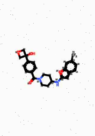 O=C(c1ccc(C2(O)COC2)cc1)N1CCC(Nc2cc3ccc(C(F)(F)F)cc3o2)CC1